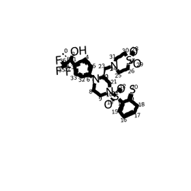 C[C@](O)(c1ccc(N2CCN(S(=O)(=O)C3=CC=CCC3=S)C[C@@H]2CN2CCS(=O)(=O)CC2)cc1)C(F)(F)F